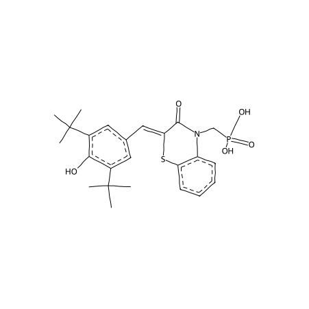 CC(C)(C)c1cc(C=C2Sc3ccccc3N(CP(=O)(O)O)C2=O)cc(C(C)(C)C)c1O